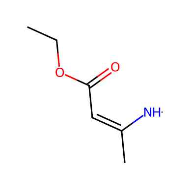 CCOC(=O)C=C(C)[NH]